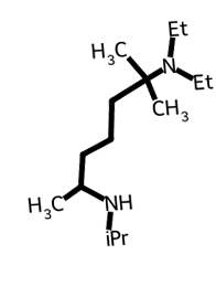 CCN(CC)C(C)(C)CCCC(C)NC(C)C